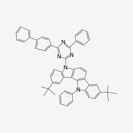 CC(C)(C)c1ccc2c(c1)c1c(ccc3c4cc(C(C)(C)C)ccc4n(-c4ccccc4)c31)n2-c1nc(-c2ccccc2)nc(-c2ccc(-c3ccccc3)cc2)n1